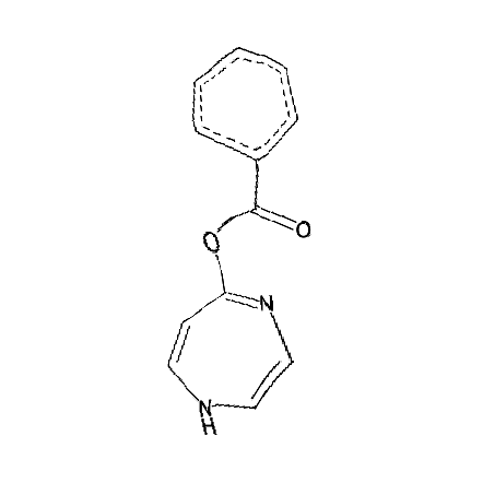 O=C(OC1=NC=CNC=C1)c1ccccc1